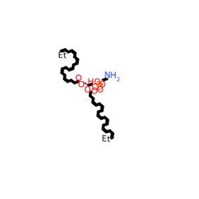 CC/C=C\C/C=C\C/C=C\C/C=C\C/C=C\C/C=C\CCC(=O)OC[C@H](COP(=O)(O)OCCN)OC(=O)CC/C=C\C/C=C\C/C=C\C/C=C\C/C=C\C/C=C\CC